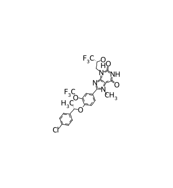 C[C@H](Oc1ccc(-c2nc3c(c(=O)[nH]c(=O)n3C[C@@H](O)C(F)(F)F)n2C)cc1OC(F)(F)F)c1ccc(Cl)cc1